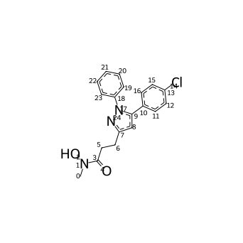 CN(O)C(=O)CCc1cc(-c2ccc(Cl)cc2)n(-c2ccccc2)n1